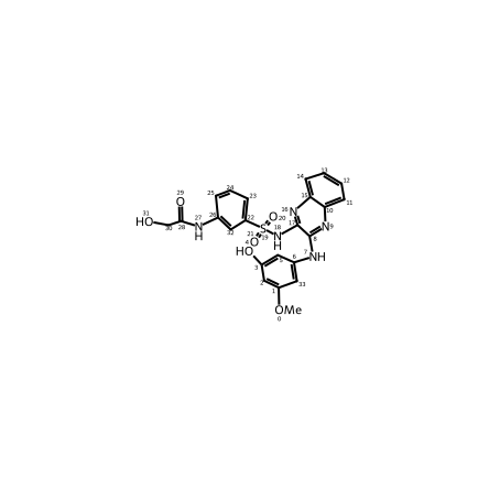 COc1cc(O)cc(Nc2nc3ccccc3nc2NS(=O)(=O)c2cccc(NC(=O)CO)c2)c1